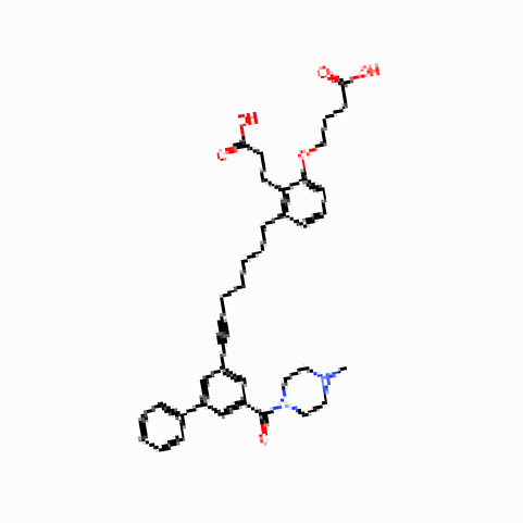 CN1CCN(C(=O)c2cc(C#CCCCCCc3cccc(OCCCC(=O)O)c3CCC(=O)O)cc(-c3ccccc3)c2)CC1